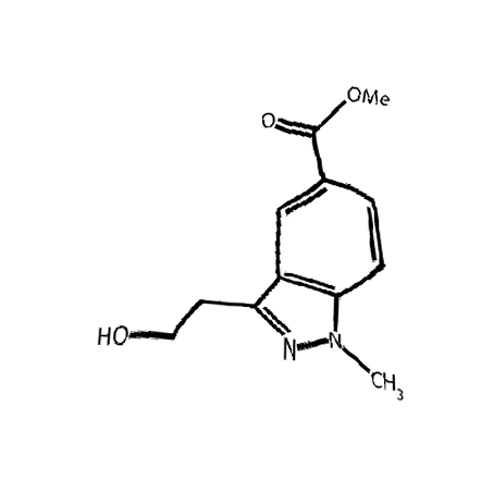 COC(=O)c1ccc2c(c1)c(CCO)nn2C